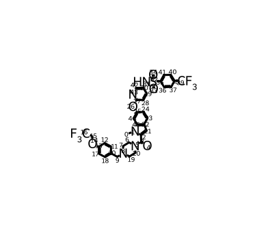 Cn1c(C(=O)N2CCN(Cc3ccc(OCC(F)(F)F)cc3)CC2)cc2ccc(Oc3ccc(NS(=O)(=O)c4ccc(C(F)(F)F)cc4)cn3)cc21